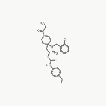 CCc1ccc(NC(=O)OCCC2(N(C=O)Cc3ccccc3Cl)CCN(C(=O)CN)CC2)cc1